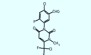 Cn1c(C(F)(F)Cl)cc(=O)n(-c2cc(C=O)c(Cl)cc2F)c1=O